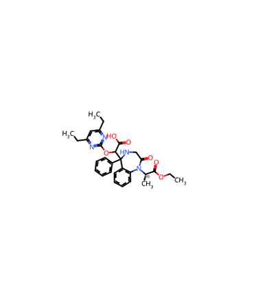 CCOC(=O)[C@@H](C)N1C(=O)CNC(c2ccccc2)(C(Oc2nc(CC)cc(CC)n2)C(=O)O)c2ccccc21